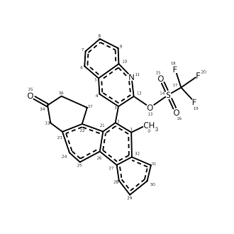 Cc1c(-c2cc3ccccc3nc2OS(=O)(=O)C(F)(F)F)c2c3c(ccc2c2ccccc12)CC(=O)CC3